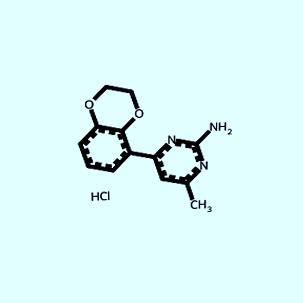 Cc1cc(-c2cccc3c2OCCO3)nc(N)n1.Cl